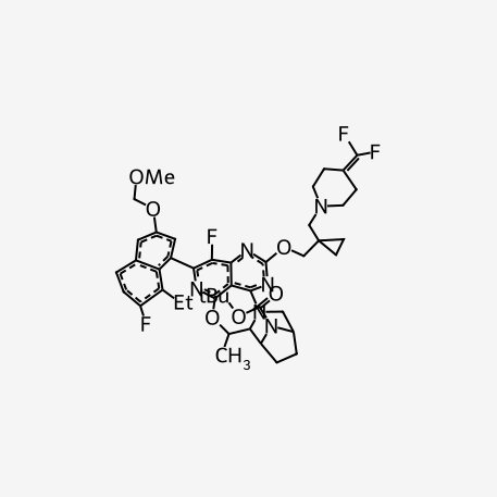 CCc1c(F)ccc2cc(OCOC)cc(-c3nc4c5c(nc(OCC6(CN7CCC(=C(F)F)CC7)CC6)nc5c3F)N3CC5CCC(C3C(C)O4)N5C(=O)OC(C)(C)C)c12